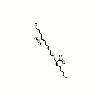 CCCCC/C=C(/C/C=C/C/C=C/C/C=C(/CCC[C]=O)[N+](=O)[O-])[N+](=O)[O-]